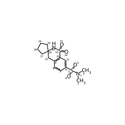 CN(C)S(=O)(=O)c1ccc2c(c1)S(=O)(=O)NC1(CCCC1)C2